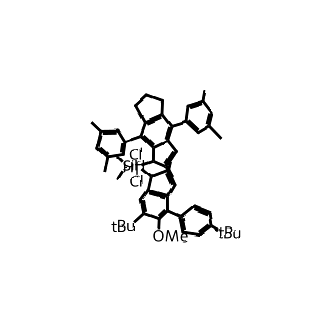 COc1c(C(C)(C)C)cc2c(c1-c1ccc(C(C)(C)C)cc1)C=C(C)[CH]2[Hf]([Cl])([Cl])([CH]1C(C)=Cc2c(-c3cc(C)cc(C)c3)c3c(c(-c4cc(C)cc(C)c4)c21)CCC3)[SiH](C)C